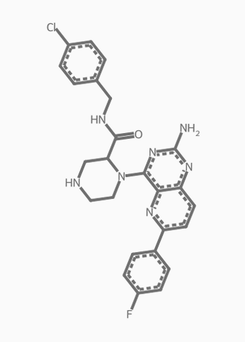 Nc1nc(N2CCNCC2C(=O)NCc2ccc(Cl)cc2)c2nc(-c3ccc(F)cc3)ccc2n1